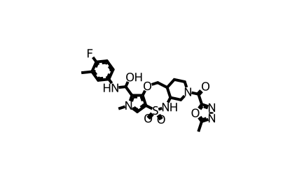 Cc1nnc(C(=O)N2CCC3COc4c(cn(C)c4C(O)Nc4ccc(F)c(C)c4)S(=O)(=O)NC3C2)o1